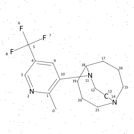 Cc1ncc(C(F)(F)F)cc1N1CCN2CCCC1CCC2